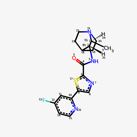 C[C@H]1[C@H](NC(=O)c2ncc(-c3cc(F)ccn3)s2)C2CCN1CC2